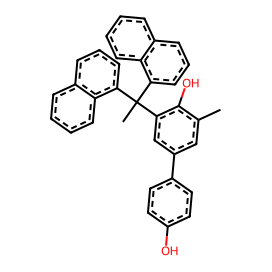 Cc1cc(-c2ccc(O)cc2)cc(C(C)(c2cccc3ccccc23)c2cccc3ccccc23)c1O